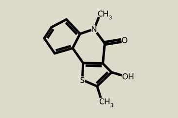 Cc1sc2c(c1O)c(=O)n(C)c1ccccc21